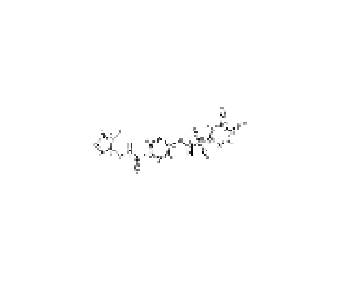 Cn1nccc1CNC(=O)c1ccc(CNS(=O)(=O)c2ccc(F)c(Cl)c2)nc1